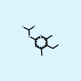 CCc1c(C)cc(OC(F)F)nc1C